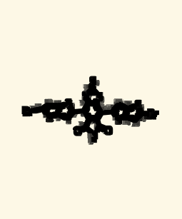 CN1C(=O)c2c(c(-c3cc4sc(Br)cc4s3)c3sc(=S)sc3c2-c2cc3sc(Br)cc3s2)C1=O